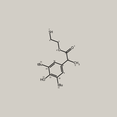 CC(C(=O)OCCS)c1cc(C(C)(C)C)c(O)c(C(C)(C)C)c1